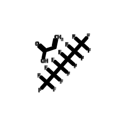 C=CC(=O)O.FC(F)(F)C(F)(F)C(F)(F)C(F)(F)C(F)(F)C(F)(F)F